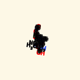 Cc1c(-c2c(C(=O)Nc3ccc(O)cc3)c3ccccn3c2-c2cc3c(cc2C(=O)N2Cc4ccccc4C[C@H]2CN2CCCCC2)CN(C(=O)Cc2ccc(OCCN4CCOCC4)cc2F)CC3)cc(C#N)n1C